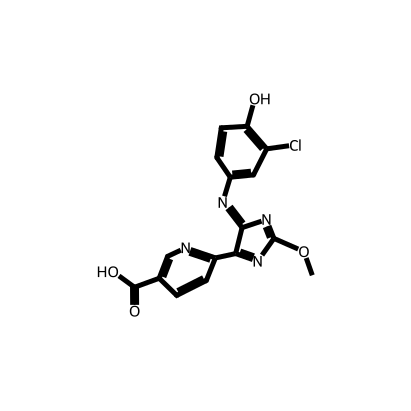 COC1=NC(=Nc2ccc(O)c(Cl)c2)C(c2ccc(C(=O)O)cn2)=N1